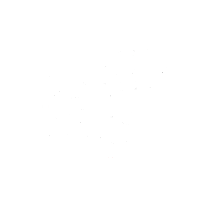 CC1(C2CC(=O)OC2=O)CC2C(=O)OC(=O)C2c2cc(OC(F)(F)C(F)(F)C(F)(F)C(F)(F)F)ccc21